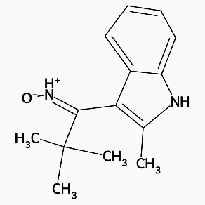 Cc1[nH]c2ccccc2c1C(=[NH+][O-])C(C)(C)C